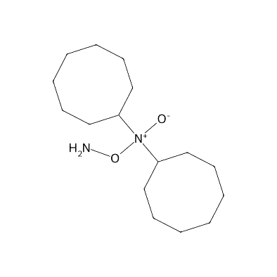 NO[N+]([O-])(C1CCCCCCC1)C1CCCCCCC1